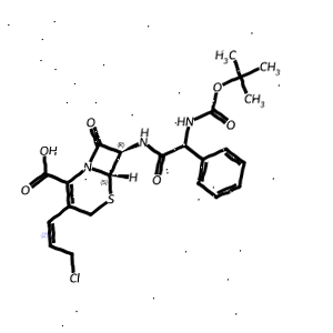 CC(C)(C)OC(=O)NC(C(=O)N[C@@H]1C(=O)N2C(C(=O)O)=C(/C=C\CCl)CS[C@@H]12)c1ccccc1